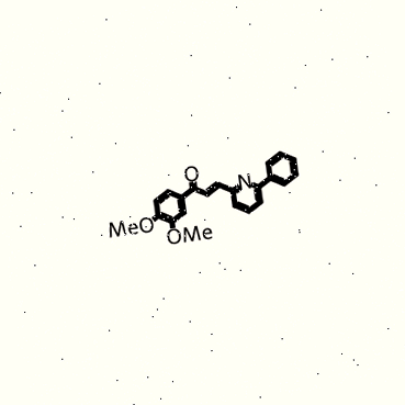 COc1ccc(C(=O)C=Cc2cccc(-c3ccccc3)n2)cc1OC